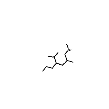 CCCC(CC(C)CNC)C(C)C